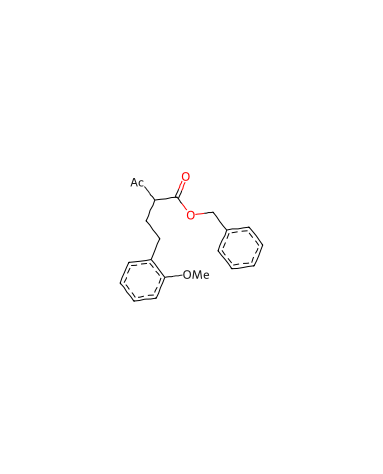 COc1ccccc1CCC(C(C)=O)C(=O)OCc1ccccc1